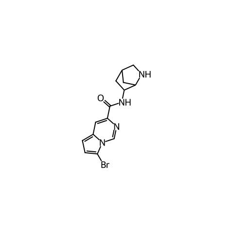 O=C(NC1CC2CNC1C2)c1cc2ccc(Br)n2cn1